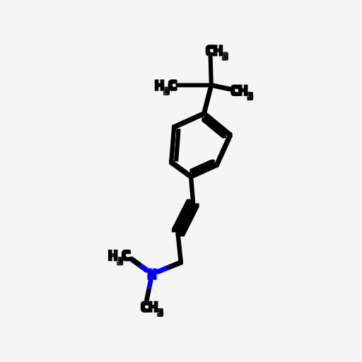 CN(C)CC#Cc1ccc(C(C)(C)C)cc1